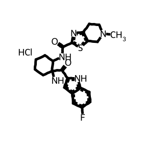 CN1CCc2nc(C(=O)NC3CCCCC3(N)C(=O)c3cc4cc(F)ccc4[nH]3)sc2C1.Cl